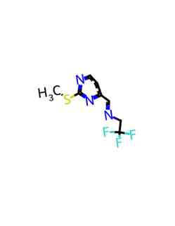 CSc1nccc(/C=N/CC(F)(F)F)n1